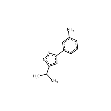 CC(C)n1cc(-c2cccc(N)c2)nn1